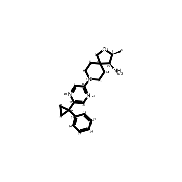 C[C@@H]1OCC2(CCN(c3cnc(C4(c5ccccc5)CC4)cn3)CC2)[C@@H]1N